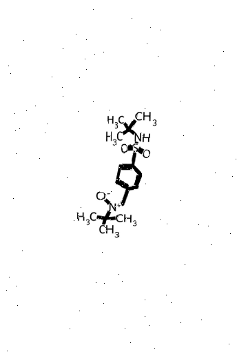 CC(C)(C)NS(=O)(=O)c1ccc(C=[N+]([O-])C(C)(C)C)cc1